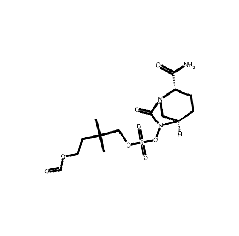 CC(C)(CCOC=O)COS(=O)(=O)ON1C(=O)N2C[C@H]1CC[C@H]2C(N)=O